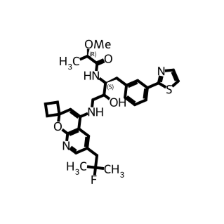 CO[C@H](C)C(=O)N[C@@H](Cc1cccc(-c2nccs2)c1)C(O)CNC1=CC2(CCC2)Oc2ncc(CC(C)(C)F)cc21